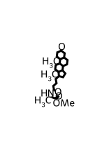 COC(=O)C(C)NC(=O)CCCC1CCC2C3CCC4CC(=O)CCC4(C)C3CCC12C